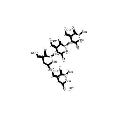 CCCCOC(=O)/C(=C\C(=O)[O-])CC(CC)CCCC.CCCCOC(=O)/C(=C\C(=O)[O-])CC(CC)CCCC.CCCCOC(=O)/C(=C\C(=O)[O-])CC(CC)CCCC.CCCCOC(=O)/C(=C\C(=O)[O-])CC(CC)CCCC.[Sn+4]